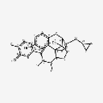 CCC12CCC(C(C)N(C)C(=O)c3ccn(C)c(=O)c3)C13CCN(CC1CC1)C2Cc1ccc(O)cc13